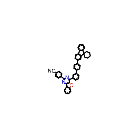 N#Cc1ccc(-c2nc(-c3cccc(-c4ccc(-c5ccc6c(c5)C5(CCCCC5)c5ccccc5-6)cc4)c3)c3oc4ccccc4c3n2)cc1